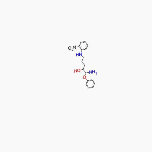 NC(Oc1ccccc1)C(O)CCCNc1ccccc1[N+](=O)[O-]